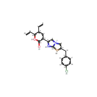 C=Cc1cc(-c2cn3cc(Cc4ccc(Cl)cc4)sc3n2)c(=O)oc1C=C